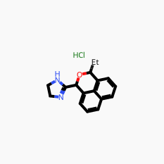 CCC1OC(C2=NCCN2)c2cccc3cccc1c23.Cl